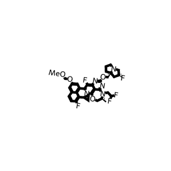 COCOc1cc(-c2nc3c4c(nc(OC[C@@]56CCCN5C[C@H](F)C6)nc4c2F)N(CC(F)F)[C@@H](C)CO3)c2c(C3CC3)c(F)ccc2c1